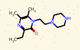 CCc1nc(C)c(C)n(CCN2CCNCC2)c1=O